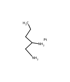 CCCC(N)CN.[Pt]